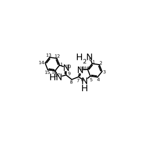 Nc1cccc2[nH]c(Cc3nc4ccccc4[nH]3)nc12